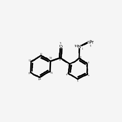 CCCNc1ccccc1C(=O)c1ccccc1